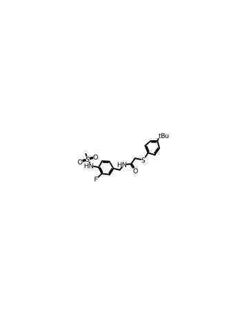 CC(C)(C)c1ccc(SCC(=O)NCc2ccc(NS(C)(=O)=O)c(F)c2)cc1